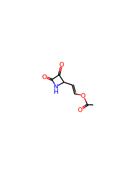 CC(=O)OC=CC1NC(=O)C1=O